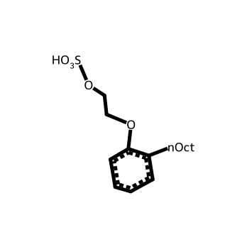 CCCCCCCCc1ccccc1OCCOS(=O)(=O)O